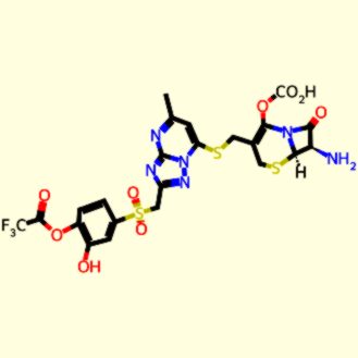 Cc1cc(SCC2=C(OC(=O)O)N3C(=O)[C@@H](N)[C@H]3SC2)n2nc(CS(=O)(=O)c3ccc(OC(=O)C(F)(F)F)c(O)c3)nc2n1